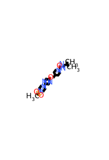 CC(C)c1noc(N2CCC(COc3cnc(N4CCN(S(C)(=O)=O)CC4)cn3)CC2)n1